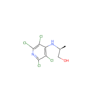 C[C@@H](CO)Nc1c(Cl)c(Cl)nc(Cl)c1Cl